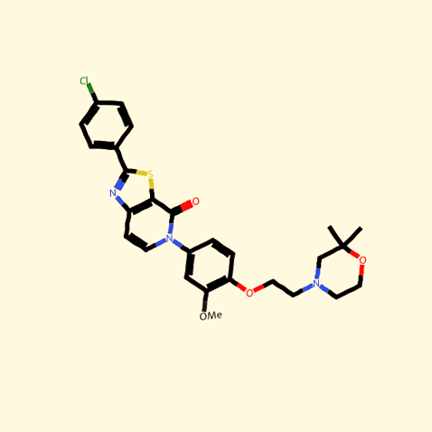 COc1cc(-n2ccc3nc(-c4ccc(Cl)cc4)sc3c2=O)ccc1OCCN1CCOC(C)(C)C1